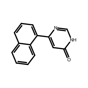 O=c1cc(-c2cccc3ccccc23)nc[nH]1